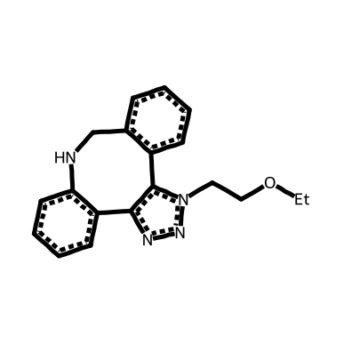 CCOCCn1nnc2c1-c1ccccc1CNc1ccccc1-2